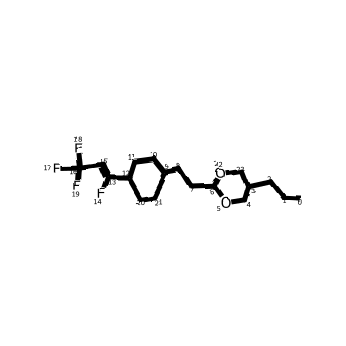 CCCC1COC(CCC2CCC(/C(F)=C/C(F)(F)F)CC2)OC1